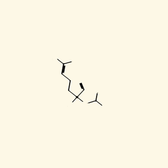 C=CC(C)(CCC=C(C)C)OC([C]=O)CC